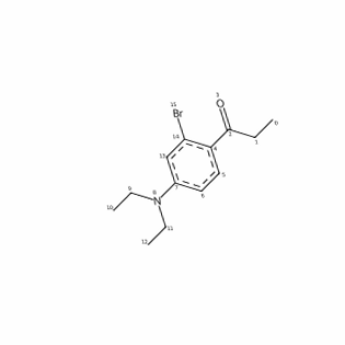 CCC(=O)c1ccc(N(CC)CC)cc1Br